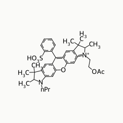 CCCN1c2cc3c(cc2C(C)(C)C1C)C(c1ccccc1S(=O)(=O)O)=c1cc2c(cc1O3)=[N+](CCOC(C)=O)C(C)C2(C)C